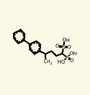 CC(CCC(P(=O)(O)O)S(=O)(=O)O)c1ccc(-c2ccccc2)cc1